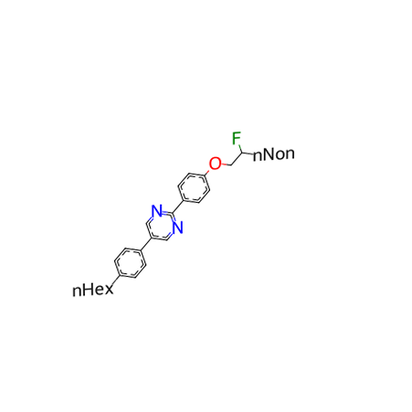 CCCCCCCCCC(F)COc1ccc(-c2ncc(-c3ccc(CCCCCC)cc3)cn2)cc1